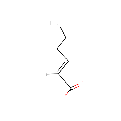 CCC/C=C(\[SiH3])C(=O)O